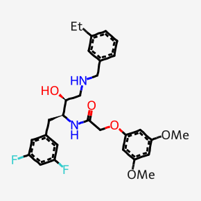 CCc1cccc(CNC[C@H](O)[C@H](Cc2cc(F)cc(F)c2)NC(=O)COc2cc(OC)cc(OC)c2)c1